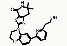 CC1(C)Cc2nc(N3CCOc4ccc(-c5cccc(CCO)n5)cc43)sc2C(=O)N1